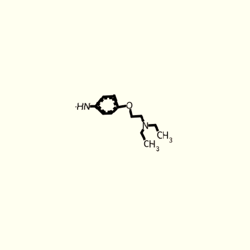 CCN(CC)CCOc1ccc([NH])cc1